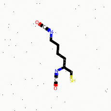 O=C=NCCCCC(CS)N=C=O